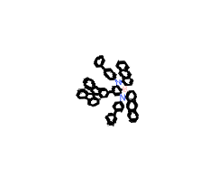 c1ccc(-c2ccc(N3c4cc(-c5ccc6c(c5)-c5ccccc5C65c6ccccc6-c6ccccc65)cc5c4B(c4ccc6cc7ccccc7cc6c43)c3ccc4cc6ccccc6cc4c3N5c3ccc(-c4ccccc4)cc3)cc2)cc1